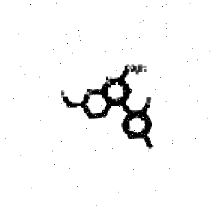 CCOC(=O)c1cc(-c2ccc(C)cc2F)c2c(n1)O[C@H](CF)CC2